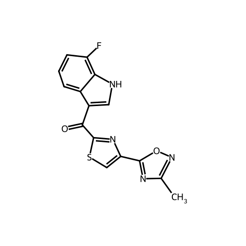 Cc1noc(-c2csc(C(=O)c3c[nH]c4c(F)cccc34)n2)n1